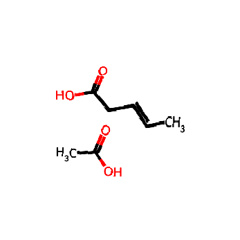 CC(=O)O.CC=CCC(=O)O